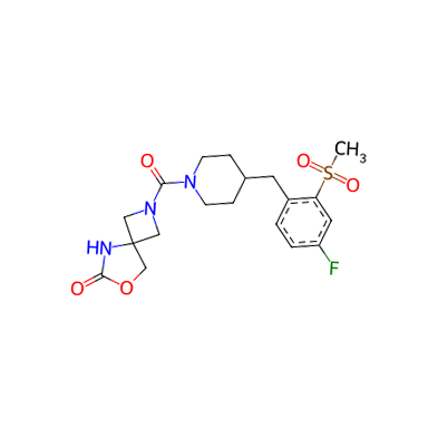 CS(=O)(=O)c1cc(F)ccc1CC1CCN(C(=O)N2CC3(COC(=O)N3)C2)CC1